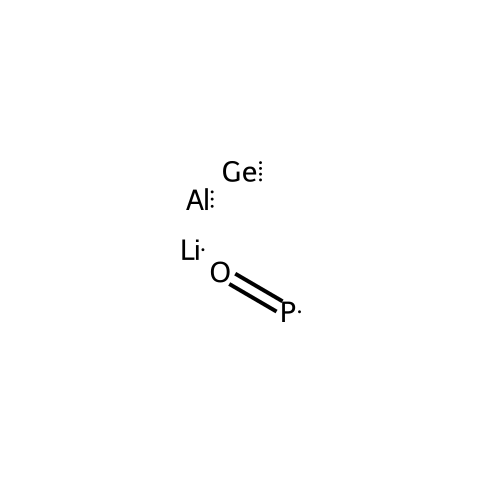 O=[P].[Al].[Ge].[Li]